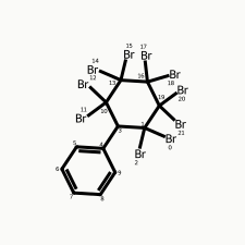 BrC1(Br)C(c2ccccc2)C(Br)(Br)C(Br)(Br)C(Br)(Br)C1(Br)Br